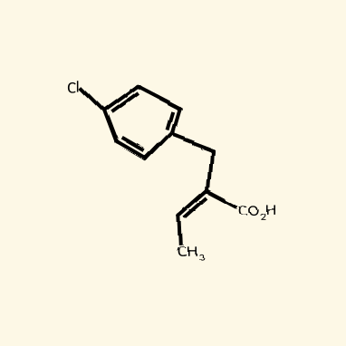 CC=C(Cc1ccc(Cl)cc1)C(=O)O